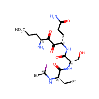 CC[C@@H](I)N[C@@H](CC(C)C)C(=O)N[C@@H](CO)C(=O)N[C@@H](CCC(N)=O)C(=O)C(=O)[C@@H](N)CCC(=O)O